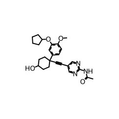 COc1ccc(C2(C#Cc3cnc(NC(C)=O)nc3)CCC(O)CC2)cc1OC1CCCC1